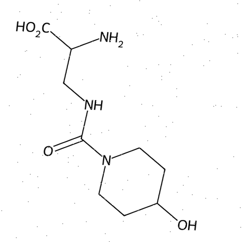 NC(CNC(=O)N1CCC(O)CC1)C(=O)O